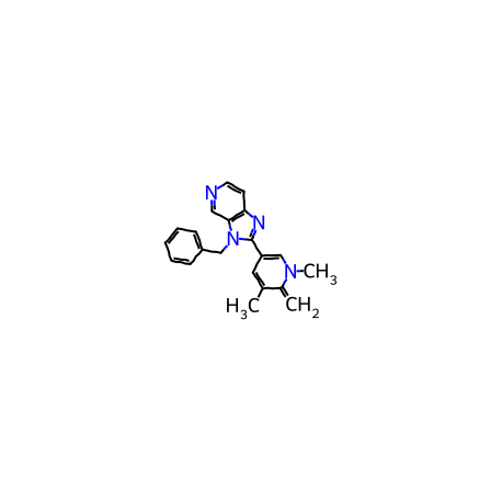 C=C1C(C)=CC(c2nc3ccncc3n2Cc2ccccc2)=CN1C